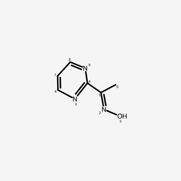 C/C(=N\O)c1ncccn1